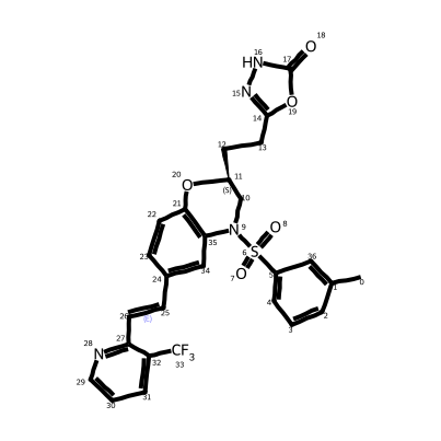 Cc1cccc(S(=O)(=O)N2C[C@H](CCc3n[nH]c(=O)o3)Oc3ccc(/C=C/c4ncccc4C(F)(F)F)cc32)c1